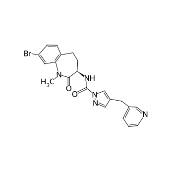 CN1C(=O)[C@H](NC(=O)n2cc(Cc3cccnc3)cn2)CCc2ccc(Br)cc21